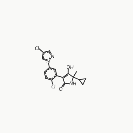 CC1(C2CC2)NC(=O)C(c2cc(-n3cc(Cl)cn3)ccc2Cl)=C1O